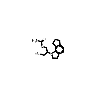 CC(C)(C)CC(COC(N)=O)N1CCc2ccc3c(c21)CCC3